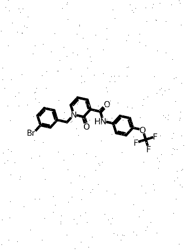 O=C(Nc1ccc(OC(F)(F)F)cc1)c1cccn(Cc2cccc(Br)c2)c1=O